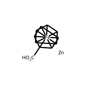 O=C(O)[C]12[CH]3[CH]4[CH]5[CH]1[Fe]45321678[CH]2[CH]1[CH]6[CH]7[CH]28.[Zn]